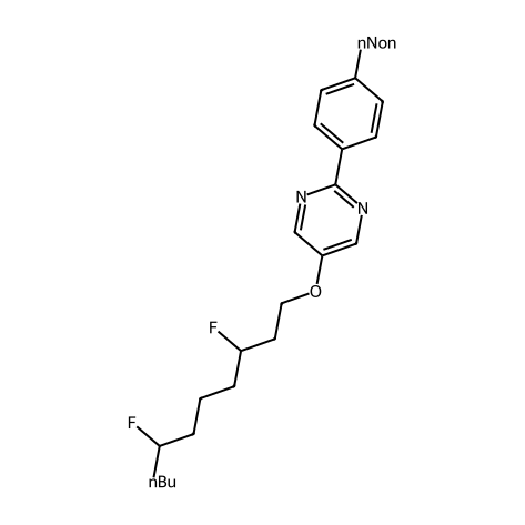 CCCCCCCCCc1ccc(-c2ncc(OCCC(F)CCCC(F)CCCC)cn2)cc1